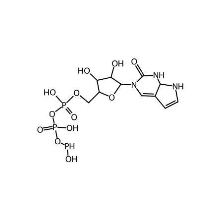 O=C1NC2NC=CC2=CN1C1OC(COP(=O)(O)OP(=O)(O)OPO)C(O)C1O